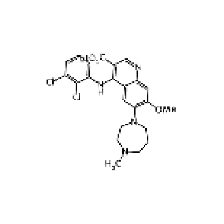 CCOC(=O)c1cnc2cc(OC)c(N3CCCN(C)CC3)cc2c1Nc1cccc(Cl)c1Cl